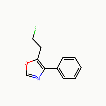 ClCCc1ocnc1-c1ccccc1